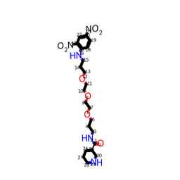 O=C(NCCCOCCOCCOCCCNc1ccc([N+](=O)[O-])cc1[N+](=O)[O-])[C@@H]1CCCNC1